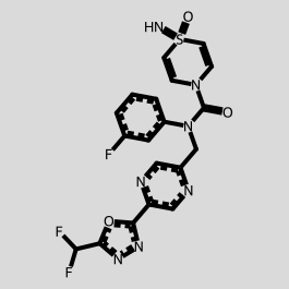 N=S1(=O)C=CN(C(=O)N(Cc2cnc(-c3nnc(C(F)F)o3)cn2)c2cccc(F)c2)C=C1